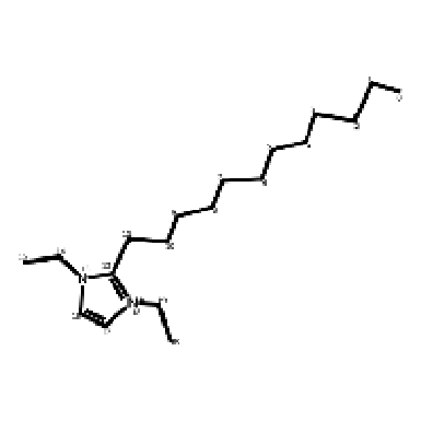 CCCCCCCCCCCCc1n(CC)cc[n+]1CC